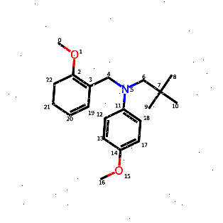 COC1=C(CN(CC(C)(C)C)c2ccc(OC)cc2)C=CCC1